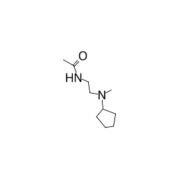 CC(=O)NCCN(C)C1CCCC1